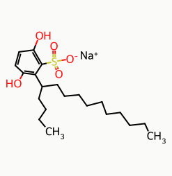 CCCCCCCCCCC(CCCC)c1c(O)ccc(O)c1S(=O)(=O)[O-].[Na+]